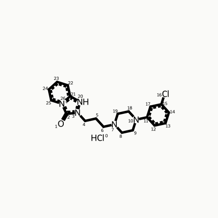 Cl.O=c1n(CCCN2CCN(c3cccc(Cl)c3)CC2)[nH]c2cccc[n+]12